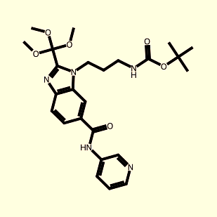 COC(OC)(OC)c1nc2ccc(C(=O)Nc3cccnc3)cc2n1CCCNC(=O)OC(C)(C)C